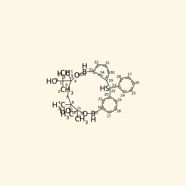 CC(C)(O)C1(C)CCC(C)(O)C(C)(C)OBc2cccc(c2)[SiH](c2ccccc2)c2cccc(c2)BO1